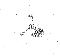 CC(C)(C)c1cccc(C(C)(C)C)c1O.CCCCCCCCCc1ccccc1Nc1ccccc1CCCCCCCCC